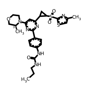 CCCNC(=O)Nc1ccc(-c2nc(C3CC3S(=O)(=O)c3nc(C)cs3)cc(N3CCOC[C@@H]3C)n2)cc1